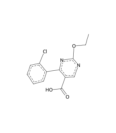 CCOc1ncc(C(=O)O)c(-c2ccccc2Cl)n1